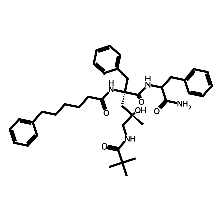 CC(C)(C)C(=O)NC[C@@](C)(O)C[C@@](Cc1ccccc1)(NC(=O)CCCCCc1ccccc1)C(=O)NC(Cc1ccccc1)C(N)=O